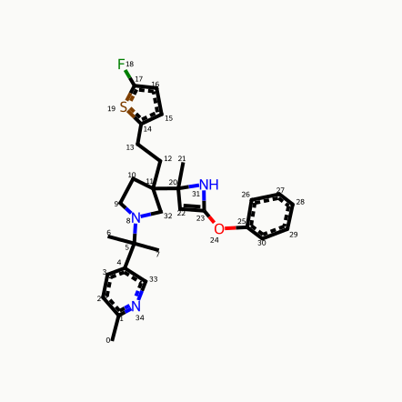 Cc1ccc(C(C)(C)N2CCC(CCc3ccc(F)s3)(C3(C)C=C(Oc4ccccc4)N3)C2)cn1